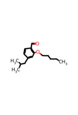 CCCCCOc1cc(CC(C)C)ccc1C=O